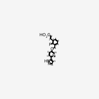 O=C(O)/C=C/c1cccc(COc2ccc(-c3ccn[nH]3)nc2)c1F